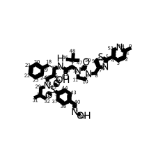 Cc1ccc(-c2nc(CN3CCN([C@H](C(=O)N[C@@H](Cc4ccccc4)[C@@H](O)CN(CC(C)C)S(=O)(=O)c4ccc(C=NO)cc4)C(C)(C)C)C3=O)cs2)cn1